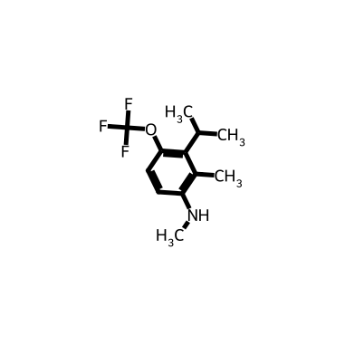 CNc1ccc(OC(F)(F)F)c(C(C)C)c1C